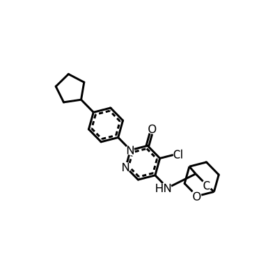 O=c1c(Cl)c(NC2CC3CCC2CO3)cnn1-c1ccc(C2CCCC2)cc1